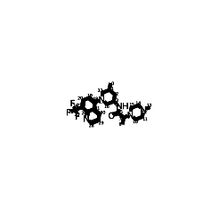 CC1CC(NC(=O)C(C)N2CCN(C)CC2)CN(c2ccc(C(F)(F)F)c3ncccc23)C1